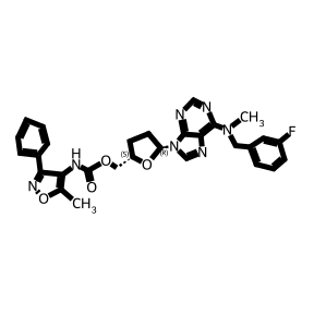 Cc1onc(-c2ccccc2)c1NC(=O)OC[C@@H]1CC[C@H](n2cnc3c(N(C)Cc4cccc(F)c4)ncnc32)O1